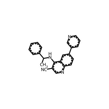 CC(Nc1c(C#N)cnc2ccc(-c3cccnc3)cc12)c1ccccc1